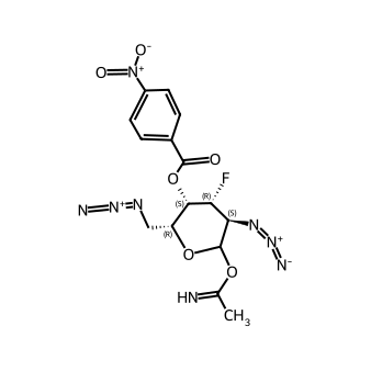 CC(=N)OC1O[C@H](CN=[N+]=[N-])[C@H](OC(=O)c2ccc([N+](=O)[O-])cc2)[C@H](F)[C@H]1N=[N+]=[N-]